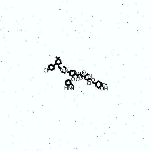 CCC1(O)CCC(COc2ncc(S(=O)(=O)NC(=O)c3ccc(N4CCN(CC5=C(c6ccc(Cl)cc6)CC(C)(C)CC5)CC4)cc3Oc3cccc4[nH]ncc34)cc2Cl)CC1